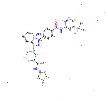 N[N+]12C=CN=CC1=C(N1CCCC(C(=O)N[C@@H]3CCOC3)C1)N=C2c1ccc(C(=O)Nc2cc(C(F)(F)F)ccn2)cc1